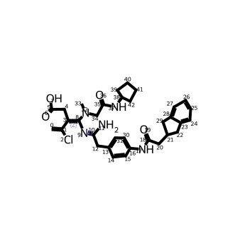 C=C(Cl)/C(CC(=O)O)=C(\N=C(/N)Cc1ccc(NC(=O)CC2Cc3ccccc3C2)cc1)N(C)CC(=O)NC1CCCC1